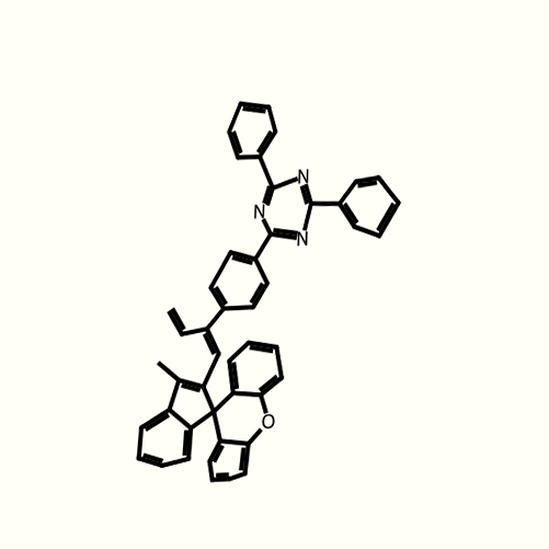 C=C/C(=C\C1=C(C)c2ccccc2C12c1ccccc1Oc1ccccc12)c1ccc(-c2nc(-c3ccccc3)nc(-c3ccccc3)n2)cc1